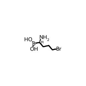 N[C@@H](CCCBr)B(O)O